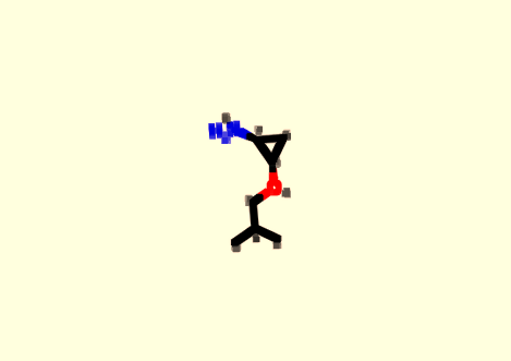 CC(C)CO[C@@H]1C[C@@H]1N